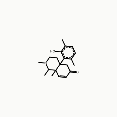 Cc1ccc(C)c(C23CCN(C)C(C)C2(C)C=CC(=O)C3)c1O